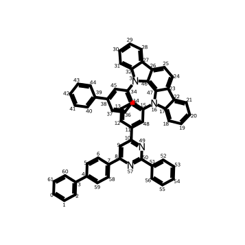 c1ccc(-c2ccc(-c3cc(-c4cccc(-n5c6ccccc6c6ccc7c8ccccc8n(-c8cccc(-c9ccccc9)c8)c7c65)c4)nc(-c4ccccc4)n3)cc2)cc1